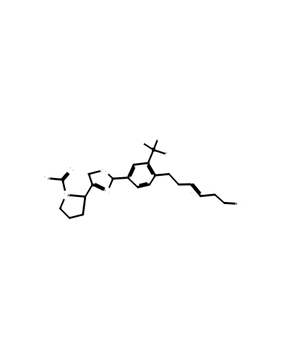 CCC/C=C/CCc1ccc(C2N=C(C3CCCN3C(=N)N)CN2)cc1C(F)(F)F